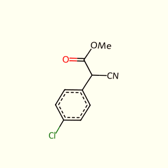 COC(=O)C(C#N)c1ccc(Cl)cc1